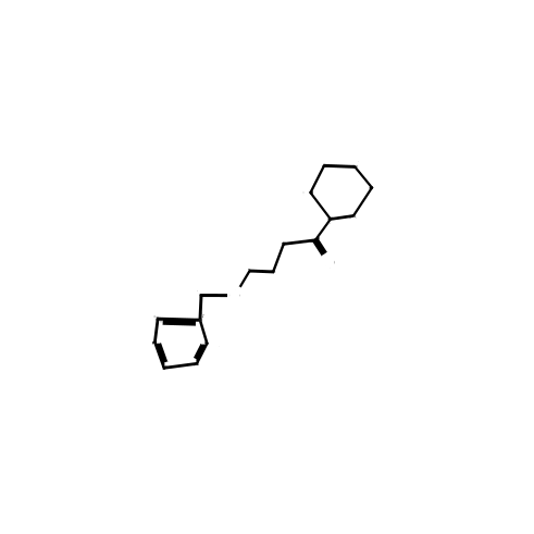 O=C(CCCOCc1ccccc1)C1CCCCC1